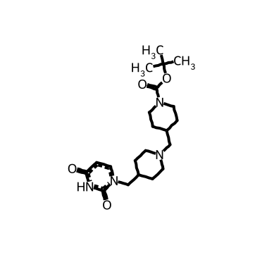 CC(C)(C)OC(=O)N1CCC(CN2CCC(Cn3ccc(=O)[nH]c3=O)CC2)CC1